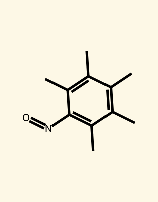 Cc1c(C)c(C)c(N=O)c(C)c1C